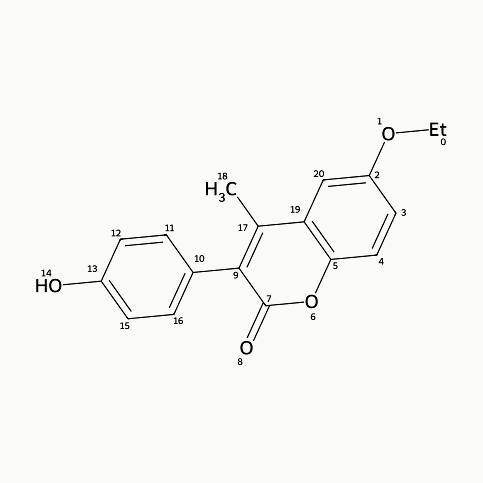 CCOc1ccc2oc(=O)c(-c3ccc(O)cc3)c(C)c2c1